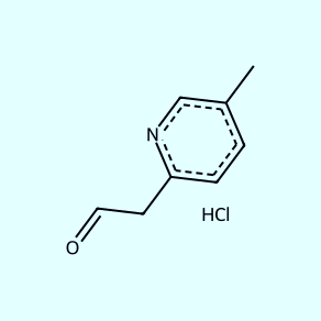 Cc1ccc(CC=O)nc1.Cl